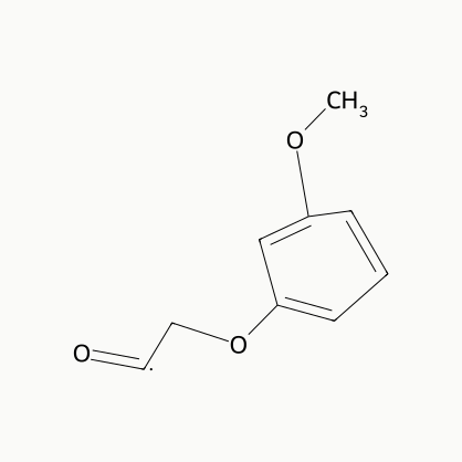 COc1cccc(OC[C]=O)c1